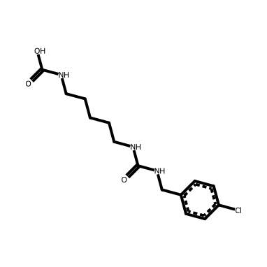 O=C(O)NCCCCCNC(=O)NCc1ccc(Cl)cc1